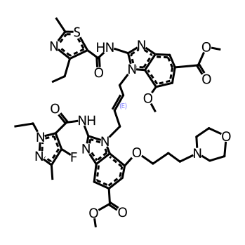 CCc1nc(C)sc1C(=O)Nc1nc2cc(C(=O)OC)cc(OC)c2n1C/C=C/Cn1c(NC(=O)c2c(F)c(C)nn2CC)nc2cc(C(=O)OC)cc(OCCCN3CCOCC3)c21